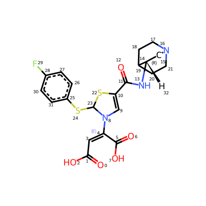 O=C(O)/C=C(\C(=O)O)N1C=C(C(=O)N[C@H]2CN3CCC2CC3)SC1Sc1ccc(F)cc1